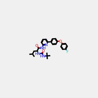 CC(C)CC(NC(=O)NC(C)(C)C)C(=O)Nc1cccc(-c2ccc(Oc3ccc(F)cc3)cc2)n1